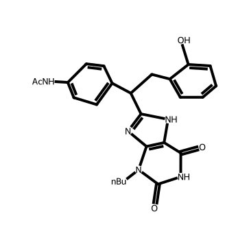 CCCCn1c(=O)[nH]c(=O)c2[nH]c(C(Cc3ccccc3O)c3ccc(NC(C)=O)cc3)nc21